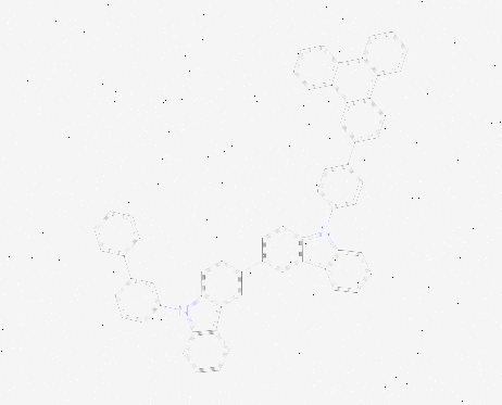 c1ccc(-c2cccc(-n3c4ccccc4c4cc(-c5ccc6c(c5)c5ccccc5n6-c5ccc(-c6ccc7c8ccccc8c8ccccc8c7c6)cc5)ccc43)c2)cc1